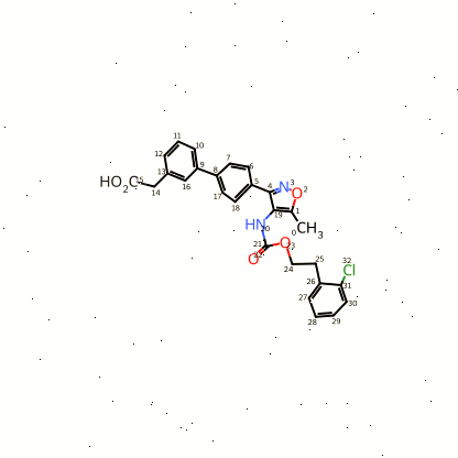 Cc1onc(-c2ccc(-c3cccc(CC(=O)O)c3)cc2)c1NC(=O)OCCc1ccccc1Cl